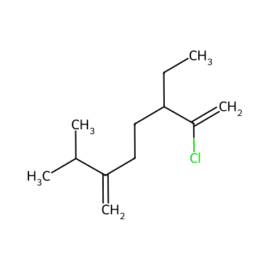 C=C(CCC(CC)C(=C)Cl)C(C)C